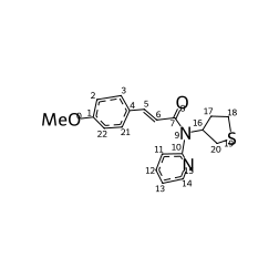 COc1ccc(/C=C/C(=O)N(c2ccccn2)C2CCSC2)cc1